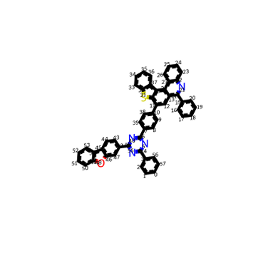 c1ccc(-c2nc(-c3ccc(-c4cc5c(-c6ccccc6)nc6ccccc6c5c5c4sc4ccccc45)cc3)nc(-c3ccc4c(c3)oc3ccccc34)n2)cc1